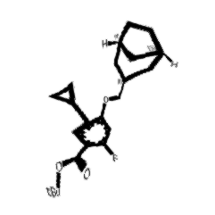 CC(C)(C)OC(=O)c1cc(C2CC2)c(OC[C@H]2C[C@@H]3CC[C@@H](C3)C2)cc1F